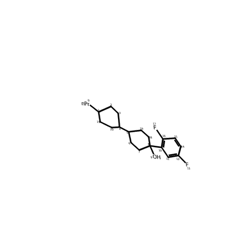 CCCC1CCC(C2CCC(O)(c3cc(F)ccc3F)CC2)CC1